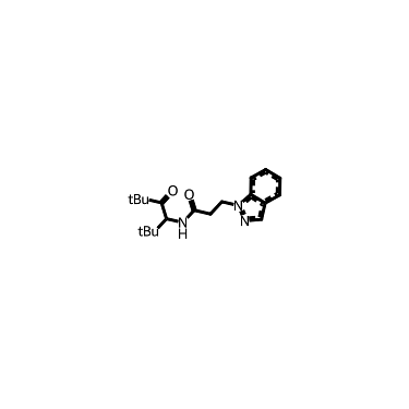 CC(C)(C)C(=O)C(NC(=O)CCn1ncc2ccccc21)C(C)(C)C